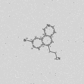 N#CCCc1cc2ccncc2c2cc(Br)ccc12